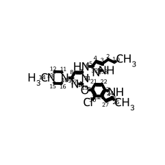 CCCc1cc(Nc2cc(N3CCN(C)CC3)nc(Oc3ccc4[nH]c(C)cc4c3Cl)n2)n[nH]1